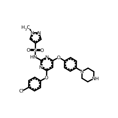 Cn1cc(S(=O)(=O)Nc2nc(Oc3ccc(Cl)cc3)cc(Oc3ccc(N4CCNCC4)cc3)n2)cn1